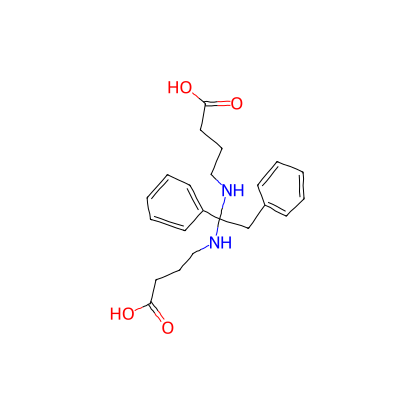 O=C(O)CCCNC(Cc1ccccc1)(NCCCC(=O)O)c1ccccc1